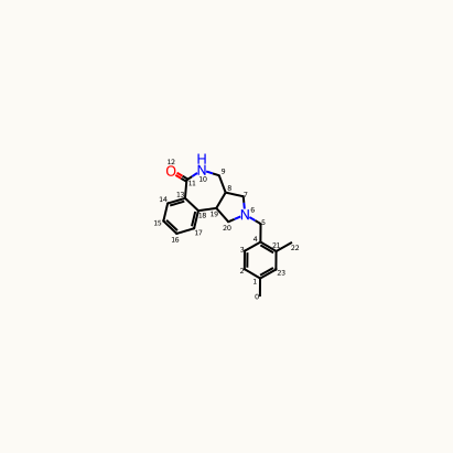 Cc1ccc(CN2CC3CNC(=O)c4ccccc4C3C2)c(C)c1